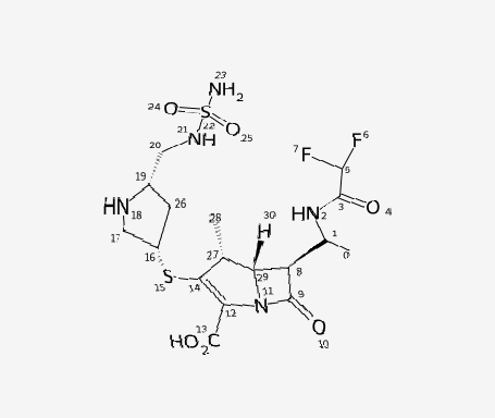 CC(NC(=O)C(F)F)[C@H]1C(=O)N2C(C(=O)O)=C(S[C@@H]3CN[C@H](CNS(N)(=O)=O)C3)[C@H](C)[C@H]12